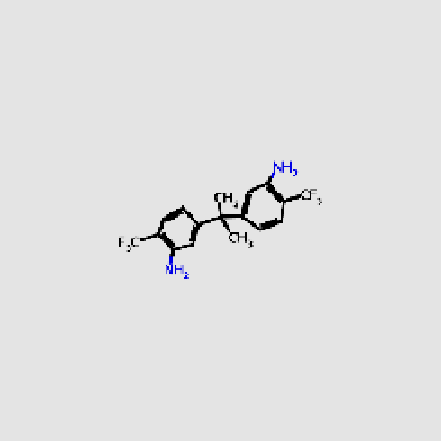 CC(C)(c1ccc(C(F)(F)F)c(N)c1)c1ccc(C(F)(F)F)c(N)c1